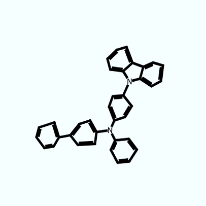 c1ccc(-c2ccc(N(c3ccccc3)c3ccc(-n4c5ccccc5c5ccccc54)cc3)cc2)cc1